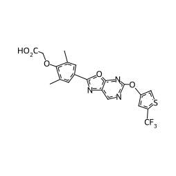 Cc1cc(-c2nc3cnc(Oc4csc(C(F)(F)F)c4)nc3o2)cc(C)c1OCC(=O)O